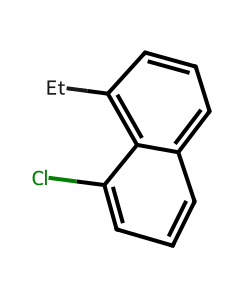 CCc1cccc2cccc(Cl)c12